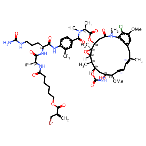 C=C(CBr)C(=O)OCCCCCC(=O)N[C@H](C(=O)N[C@@H](CCCNC(N)=O)C(=O)Nc1ccc(C(=O)N(C)[C@@H](C)C(=O)O[C@H]2CC(=O)N(C)c3cc(cc(OC)c3Cl)C/C(C)=C/C=C/[C@@H](OC)[C@@]3(O)C[C@H](OC(=O)N3)[C@@H](C)[C@@H]3O[C@@]23C)cc1C(F)(F)F)C(C)C